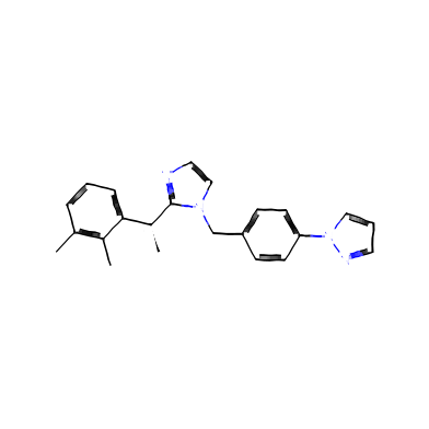 Cc1cccc([C@H](C)c2nccn2Cc2ccc(-n3cccn3)cc2)c1C